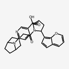 O=C(O)c1ccc(N2C3CCC2CN(CC(=O)N2C=CCC2c2ccc4cccoc2-4)C3)nc1